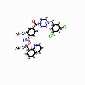 COc1cc(C(=O)N2CCN(Cc3cc(Cl)cc(Cl)c3)CC2)ccc1NOC(OC)c1cccc2cccnc12